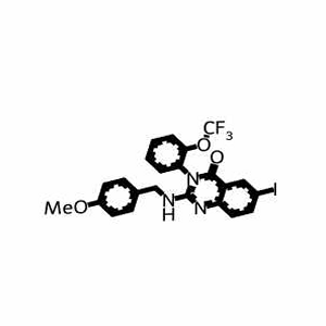 COc1ccc(CNc2nc3ccc(I)cc3c(=O)n2-c2ccccc2OC(F)(F)F)cc1